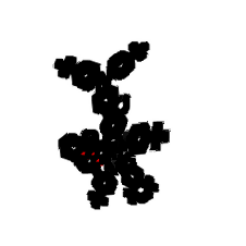 CC(C)(C)c1ccc(N2B3c4sc5cc6c(cc5c4N(c4ccc(C(C)(C)C)cc4-c4ccccc4)c4cc5c(oc7ccccc75)c(c43)-c3cc4c(cc32)oc2cc(N(c3ccc(C(C)(C)C)cc3)c3ccc(C(C)(C)C)cc3)ccc24)C(C)(C)CCC6(C)C)cc1